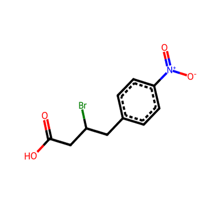 O=C(O)CC(Br)Cc1ccc([N+](=O)[O-])cc1